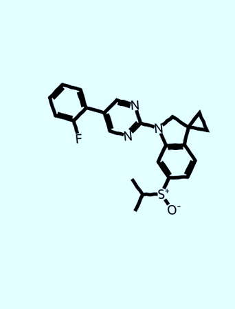 CC(C)[S+]([O-])c1ccc2c(c1)N(c1ncc(-c3ccccc3F)cn1)CC21CC1